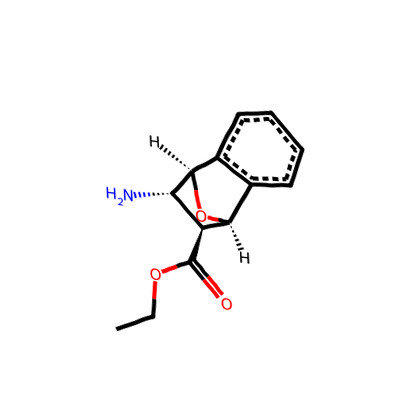 CCOC(=O)[C@H]1[C@H](N)[C@@H]2O[C@H]1c1ccccc12